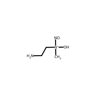 C[N+](O)(CCN)N=O